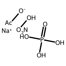 CC(=O)[O-].O=P(O)(O)O.O=[N+]([O-])O.[Na+]